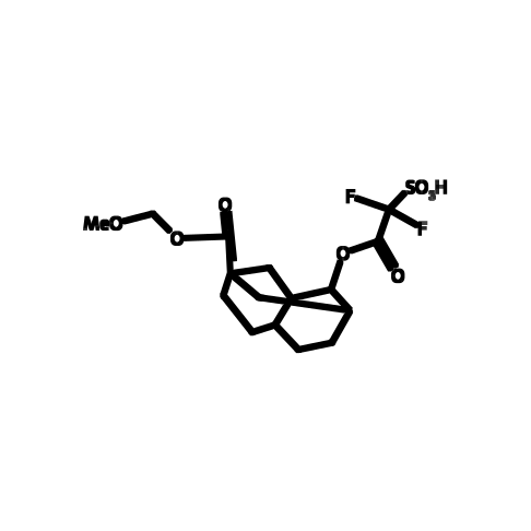 COCOC(=O)C12CCC3CCC(C1)C(OC(=O)C(F)(F)S(=O)(=O)O)C3C2